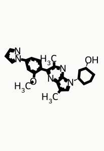 COc1cc(-n2cccn2)ccc1-c1nc2c(C)cn([C@H]3CCC[C@@H](O)C3)c2nc1C